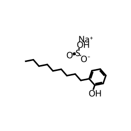 CCCCCCCCCc1ccccc1O.O=S([O-])O.[Na+]